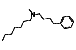 CCCCCCCN(C)CCCCc1ccccc1